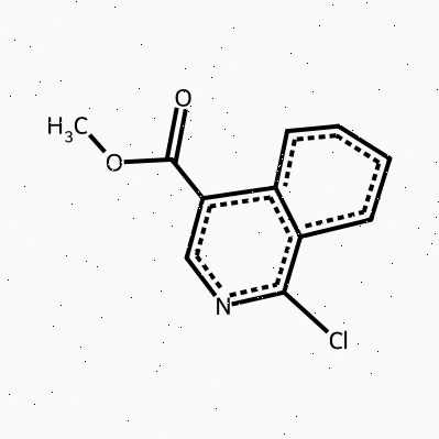 COC(=O)c1cnc(Cl)c2ccccc12